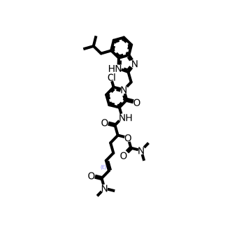 CC(C)Cc1cccc2nc(Cn3c(Cl)ccc(NC(=O)C(CC/C=C/C(=O)N(C)C)OC(=O)N(C)C)c3=O)[nH]c12